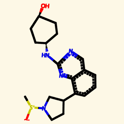 C[S+]([O-])N1CCC(c2cccc3cnc(N[C@H]4CC[C@H](O)CC4)nc23)C1